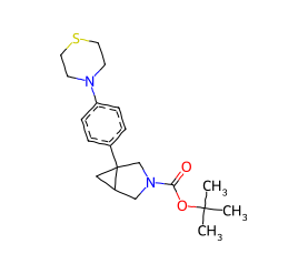 CC(C)(C)OC(=O)N1CC2CC2(c2ccc(N3CCSCC3)cc2)C1